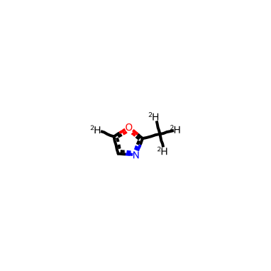 [2H]c1cnc(C([2H])([2H])[2H])o1